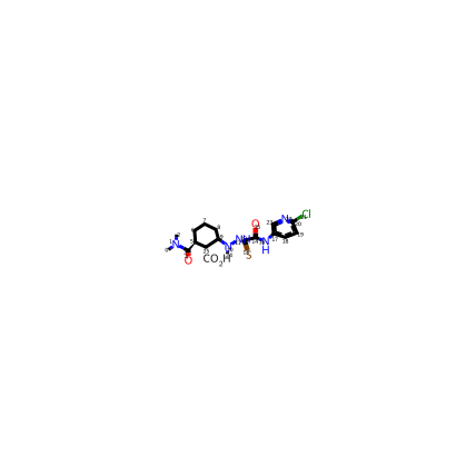 CN(C)C(=O)[C@H]1CCCC(N(NC(=S)C(=O)Nc2ccc(Cl)nc2)C(=O)O)C1